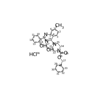 Cc1ccc2c(c1)N=C(c1ccccc1O)N(CO)C2N1CCN(C(=O)OCc2ccccc2)CC1.Cl